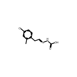 Cc1cc(Cl)ccc1C/C=N/NC(=O)O